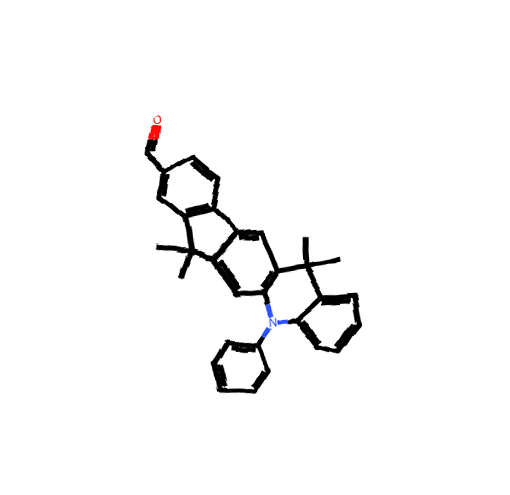 CC1(C)c2cc(C=O)ccc2-c2cc3c(cc21)N(c1ccccc1)c1ccccc1C3(C)C